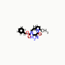 C[C@@H]1CC[C@@H]2CCN(C(=O)OCc3ccccc3)C[C@H](N)C(=O)N21